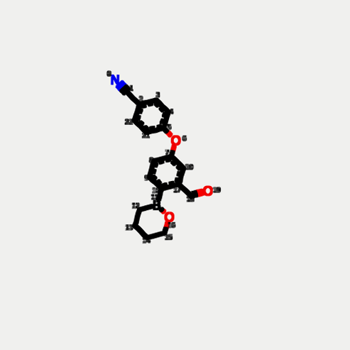 N#Cc1ccc(Oc2ccc(B3CCCCO3)c(C=O)c2)cc1